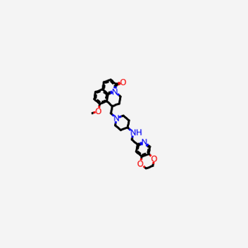 COc1ccc2ccc(=O)n3c2c1C(CN1CCC(NCc2cc4c(cn2)OCCO4)CC1)CC3